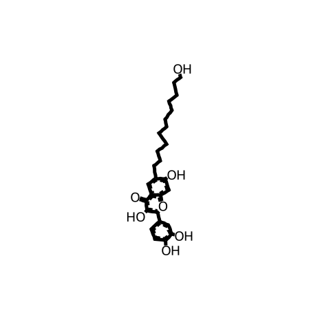 O=c1c(O)c(-c2ccc(O)c(O)c2)oc2cc(O)c(CCCCCCCCCCCCO)cc12